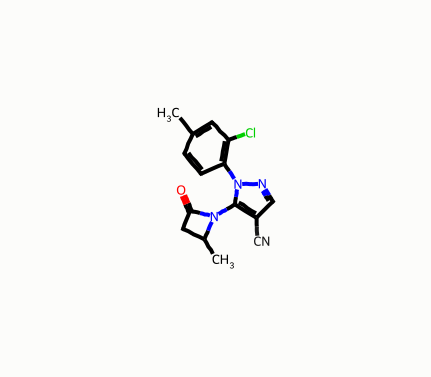 Cc1ccc(-n2ncc(C#N)c2N2C(=O)CC2C)c(Cl)c1